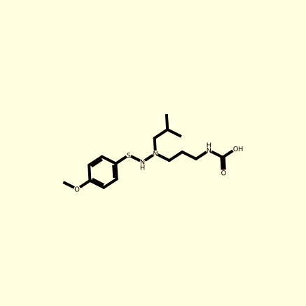 COc1ccc(SNN(CCCNC(=O)O)CC(C)C)cc1